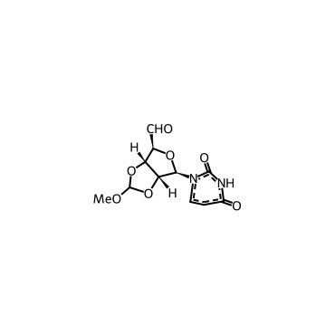 COC1O[C@@H]2[C@H](O1)[C@@H](C=O)O[C@H]2n1ccc(=O)[nH]c1=O